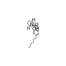 CCCCCCc1ccc(O[C@@H]2C[C@H]3CC[C@@H](C2)N3C(=O)O)cc1